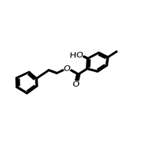 Cc1ccc(C(=O)OCCc2ccccc2)c(O)c1